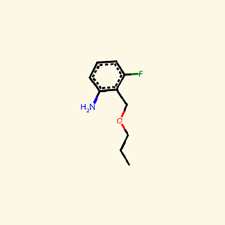 CCCOCc1c(N)cccc1F